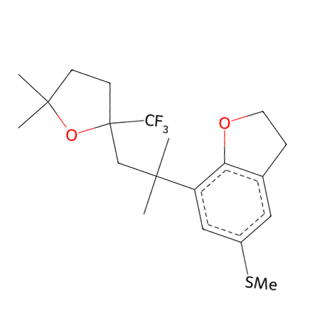 CSc1cc2c(c(C(C)(C)CC3(C(F)(F)F)CCC(C)(C)O3)c1)OCC2